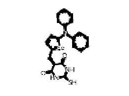 O=C1NC(S)NC(=O)C1=Cc1ccc(N(c2ccccc2)c2ccccc2)[se]1